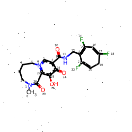 CN1CCCCn2cc(C(=O)NCC3=C(F)C=C(F)CC=C3F)c(=O)c(O)c2C1=O